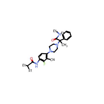 CCC(CC)C(=O)Nc1ccc(N2CCN(C(C)(C(=O)N(CC)CC)c3ccccc3)CC2)c(C#N)c1F